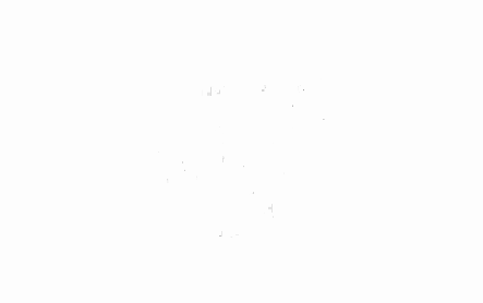 CCCCc1cc(C(C)(C)CC)cc(C(C)c2cc(C(C)(C)CC)cc(CCCC)c2O)c1O